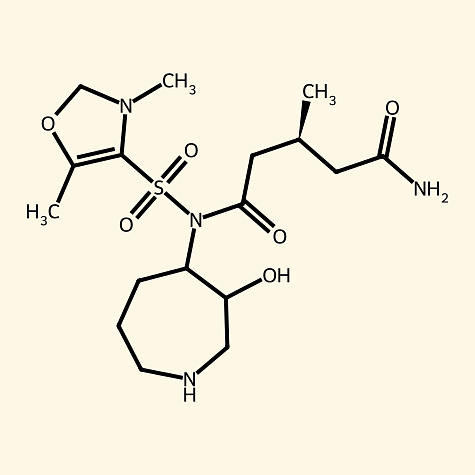 CC1=C(S(=O)(=O)N(C(=O)C[C@@H](C)CC(N)=O)C2CCCNCC2O)N(C)CO1